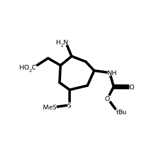 CSSC1CC(NC(=O)OC(C)(C)C)CC(N)C(CC(=O)O)C1